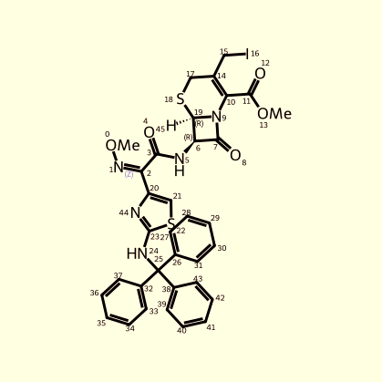 CO/N=C(\C(=O)N[C@@H]1C(=O)N2C(C(=O)OC)=C(CI)CS[C@H]12)c1csc(NC(c2ccccc2)(c2ccccc2)c2ccccc2)n1